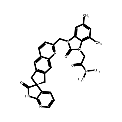 Cc1cc(C)c2c(c1)n(Cc1ccc3cc4c(cc3n1)C[C@]1(C4)C(=O)Nc3ncccc31)c(=O)n2CC(=O)N(C)C